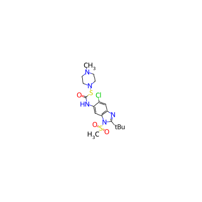 CN1CCN(SC(=O)Nc2cc3c(cc2Cl)nc(C(C)(C)C)n3S(C)(=O)=O)CC1